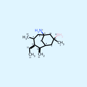 BC1(C)CC2CC(N)(CC(C)/C(=C/C)C2=C)C1